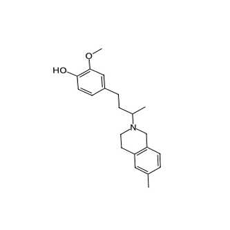 COc1cc(CCC(C)N2CCc3cc(C)ccc3C2)ccc1O